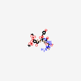 CON=C(C(=O)NC1C(=O)N2CC(CSc3cc(=O)c4cc(OC(=O)OC(C)(C)C)c(OC(=O)OC(C)(C)C)cc4s3)(C(=O)OCc3ccc(OC)cc3)CS[C@H]12)c1nsc(N)n1